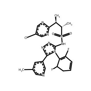 Cc1cncc(-c2nnc(NS(=O)(=O)[C@@H](C)[C@H](C)c3ncc(Cl)cn3)n2C2=C(F)C=CCC2F)c1